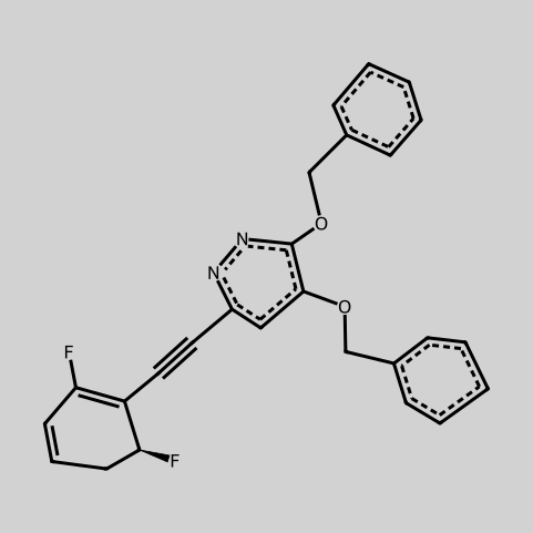 FC1=C(C#Cc2cc(OCc3ccccc3)c(OCc3ccccc3)nn2)[C@@H](F)CC=C1